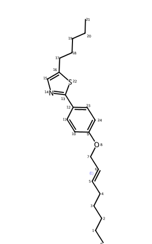 CCCCC/C=C/COc1ccc(-c2ncc(CCCCC)s2)cc1